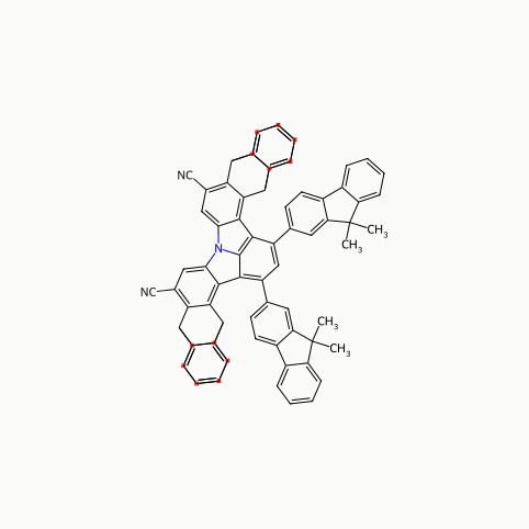 CC1(C)c2ccccc2-c2ccc(-c3cc(-c4ccc5c(c4)C(C)(C)c4ccccc4-5)c4c5c6c(c(C#N)cc5n5c7cc(C#N)c8c(c7c3c45)C3c4ccccc4C8c4ccccc43)C3c4ccccc4C6c4ccccc43)cc21